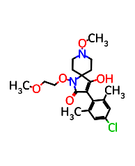 COCCON1C(=O)C(c2c(C)cc(Cl)cc2C)=C(O)C12CCN(OC)CC2